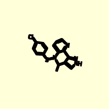 CC1c2c[nH]nc2-c2ncccc2N1Sc1ccc(Cl)cc1